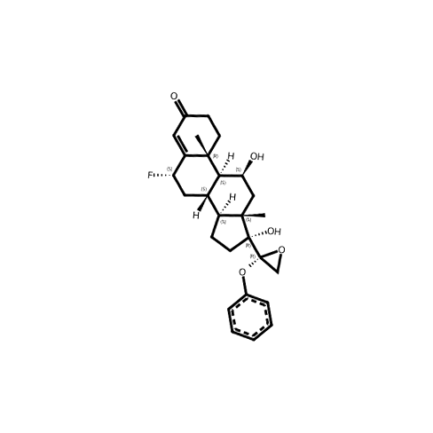 C[C@]12CCC(=O)C=C1[C@@H](F)C[C@@H]1[C@@H]2[C@@H](O)C[C@@]2(C)[C@H]1CC[C@]2(O)[C@]1(Oc2ccccc2)CO1